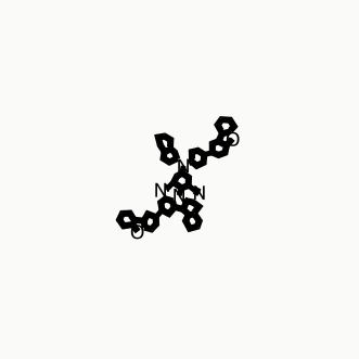 N#Cc1cc(N(c2ccc(-c3ccc4oc5ccccc5c4c3)cc2)c2ccc3ccccc3c2)cc(C#N)c1-n1c2ccc(-c3ccc4oc5ccccc5c4c3)cc2c2c3ccccc3ccc21